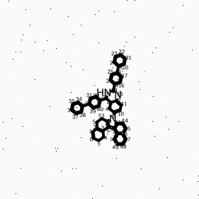 C1=CC2=C(CC1)c1c(n(C3=CC=C4N=C(c5ccc(-c6ccccc6)cc5)NC(c5ccc(-c6ccccc6)cc5)C4C3)c3ccc4ccccc4c13)CC2